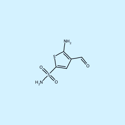 Nc1sc(S(N)(=O)=O)cc1C=O